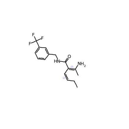 CC/C=C\C(C(=O)NCc1cccc(C(F)(F)F)c1)=C(/C)N